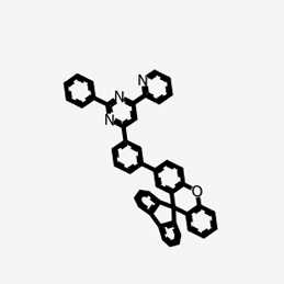 c1ccc(-c2nc(-c3cccc(-c4ccc5c(c4)C4(c6ccccc6O5)c5ccccc5-c5ccccc54)c3)cc(-c3ccccn3)n2)cc1